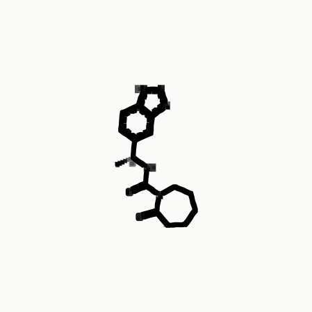 C[C@@H](NC(=O)N1CCCC[CH]C1=O)c1ccc2[nH]nnc2c1